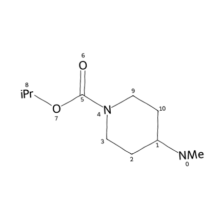 CNC1CCN(C(=O)OC(C)C)CC1